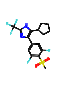 CS(=O)(=O)c1c(F)cc(-c2nc(C(F)(F)F)[nH]c2C2CCCC2)cc1F